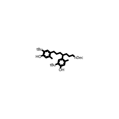 CCCCCCCCCCCCCC(CCCc1cc(C(C)(C)C)c(O)cc1C)c1cc(C(C)(C)C)c(O)cc1C